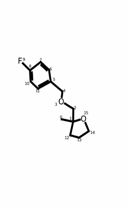 CC1(COCc2ccc(F)cc2)CCCO1